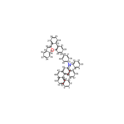 c1ccc(-c2ccc(-c3ccccc3N(c3ccc(-c4ccc(-c5ccccc5-c5cc6ccccc6o5)cc4)cc3)c3ccc4c(ccc5ccccc54)c3)cc2)cc1